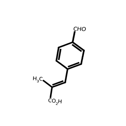 CC(=Cc1ccc(C=O)cc1)C(=O)O